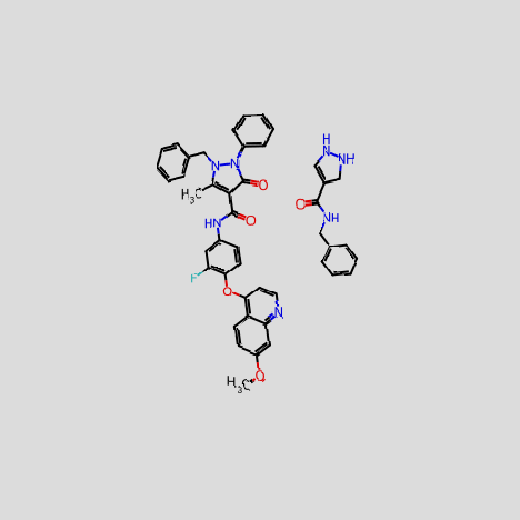 COc1ccc2c(Oc3ccc(NC(=O)c4c(C)n(Cc5ccccc5)n(-c5ccccc5)c4=O)cc3F)ccnc2c1.O=C(NCc1ccccc1)C1=CNNC1